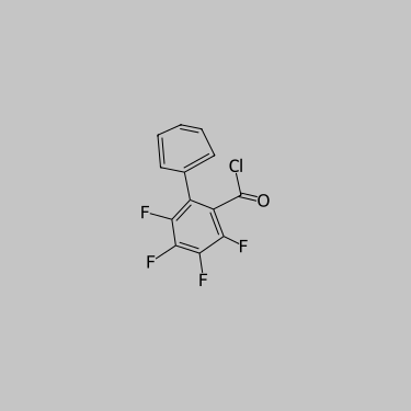 O=C(Cl)c1c(F)c(F)c(F)c(F)c1-c1ccccc1